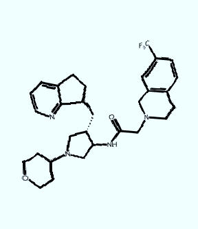 O=C(CN1CCc2ccc(C(F)(F)F)cc2C1)NC1CN(C2CCOCC2)C[C@@H]1CC1CCc2cccnc21